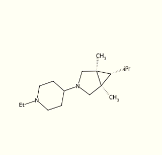 CCN1CCC(N2C[C@@]3(C)[C@H](C(C)C)[C@@]3(C)C2)CC1